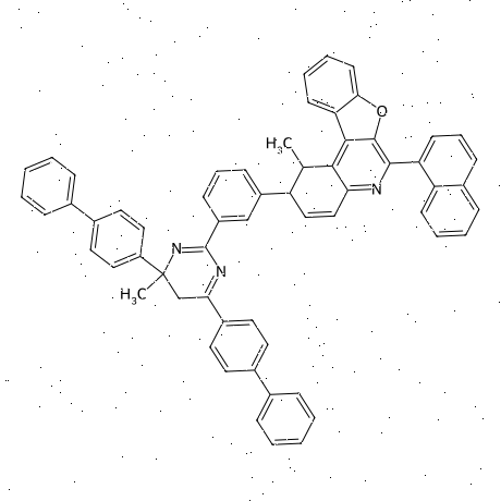 CC1c2c(nc(-c3cccc4ccccc34)c3oc4ccccc4c23)C=CC1c1cccc(C2=NC(C)(c3ccc(-c4ccccc4)cc3)CC(c3ccc(-c4ccccc4)cc3)=N2)c1